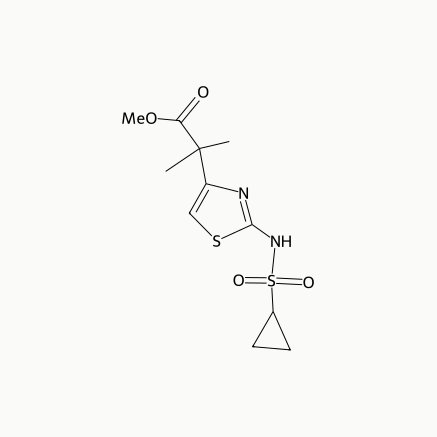 COC(=O)C(C)(C)c1csc(NS(=O)(=O)C2CC2)n1